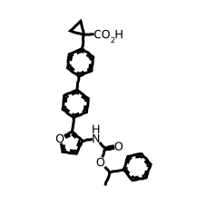 CC(OC(=O)Nc1ccoc1-c1ccc(-c2ccc(C3(C(=O)O)CC3)cc2)cc1)c1ccccc1